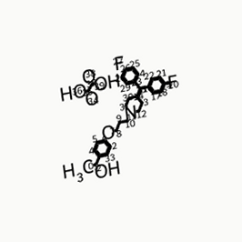 CC(O)c1ccc(OCCCN2CCC(=C(c3ccc(F)cc3)c3ccc(F)cc3)CC2)cc1.O=C(O)C(=O)O